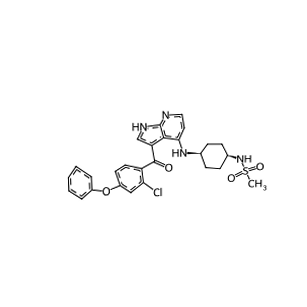 CS(=O)(=O)N[C@H]1CC[C@@H](Nc2ccnc3[nH]cc(C(=O)c4ccc(Oc5ccccc5)cc4Cl)c23)CC1